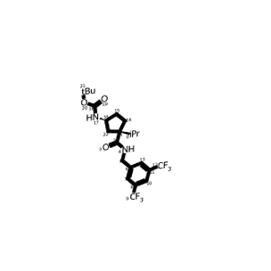 CC(C)[C@]1(C(=O)NCc2cc(C(F)(F)F)cc(C(F)(F)F)c2)CC[C@@H](NC(=O)OC(C)(C)C)C1